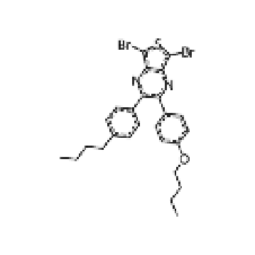 CCCCOc1ccc(-c2nc3c(Br)sc(Br)c3nc2-c2ccc(CCCC)cc2)cc1